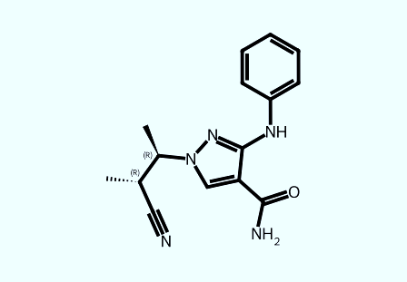 C[C@H]([C@@H](C)C#N)n1cc(C(N)=O)c(Nc2ccccc2)n1